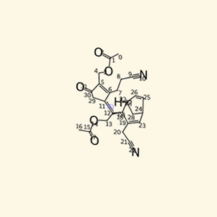 CC(=O)OCC1=C(CCC#N)/C(=C(/COC(C)=O)[C@@H]2C(CC#N)=CC3C=C[C@@H]2C3)CC1=O